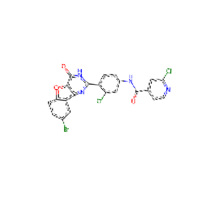 O=C(Nc1ccc(-c2nc3c(oc4ccc(Br)cc43)c(=O)[nH]2)c(Cl)c1)c1ccnc(Cl)c1